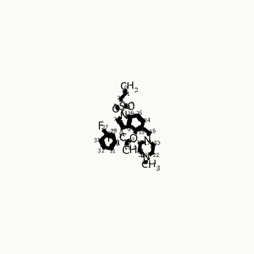 C=CCS(=O)(=O)n1ccc2c(OC(C)C)c(CN3CCN(C)CC3)ccc21.Fc1ccccc1